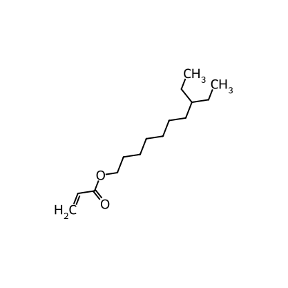 C=CC(=O)OCCCCCCCC(CC)CC